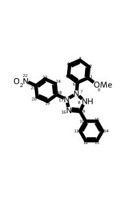 COc1ccccc1N1NC(c2ccccc2)=NN1c1ccc([N+](=O)[O-])cc1